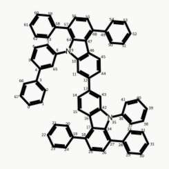 c1ccc(-c2cccc(-n3c4cc(-c5ccc6c7c(-c8ccccc8)ccc(-c8ccccc8)c7n(-c7ccccc7)c6c5)ccc4c4c(-c5ccccc5)ccc(-c5ccccc5)c43)c2)cc1